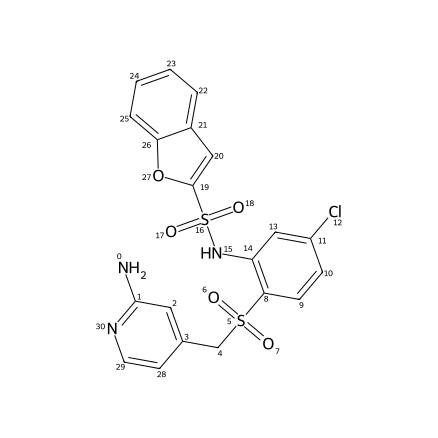 Nc1cc(CS(=O)(=O)c2ccc(Cl)cc2NS(=O)(=O)c2cc3ccccc3o2)ccn1